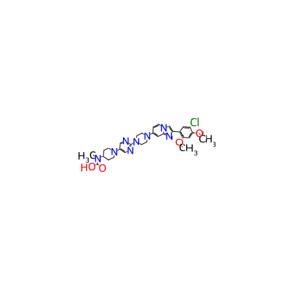 COc1cc(OC)c(-c2cn3ccc(N4CCN(c5ncc(N6CCC(N(C)C(=O)O)CC6)cn5)CC4)cc3n2)cc1Cl